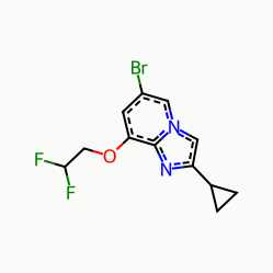 FC(F)COc1cc(Br)cn2cc(C3CC3)nc12